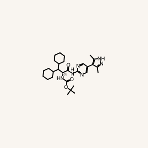 Cc1n[nH]c(C)c1-c1cnc(NC(=O)[C@@H](NC(=O)OC(C)(C)C)C(C2CCCCC2)C2CCCCC2)nc1